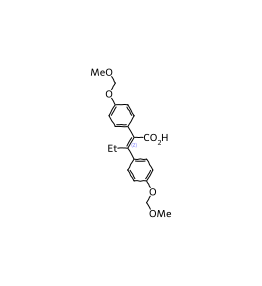 CC/C(=C(/C(=O)O)c1ccc(OCOC)cc1)c1ccc(OCOC)cc1